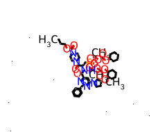 CCCCOC(=O)N1CCN(C(=O)C(CP(=O)(OC(C)OC(=O)OC2CCCCC2)OC(C)OC(=O)OC2CCCCC2)NC(=O)c2cc(N3CCC(OC)C3)nc(-c3ccccc3)n2)CC1